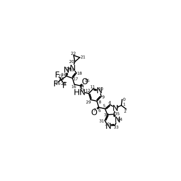 CC(C)n1cc(C(=O)c2cncc(NC(=O)Cc3cn(C4CC4)nc3C(F)(F)F)c2)c2cncnc21